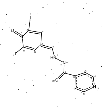 O=C1C(I)=CC(=CNNC(=O)c2ccncc2)C=C1I